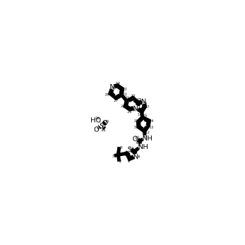 CC(C)(C)c1cnc(NC(=O)Nc2ccc(-c3cnc4cc(-c5ccncc5)ccn34)cc2)s1.CS(=O)(=O)O